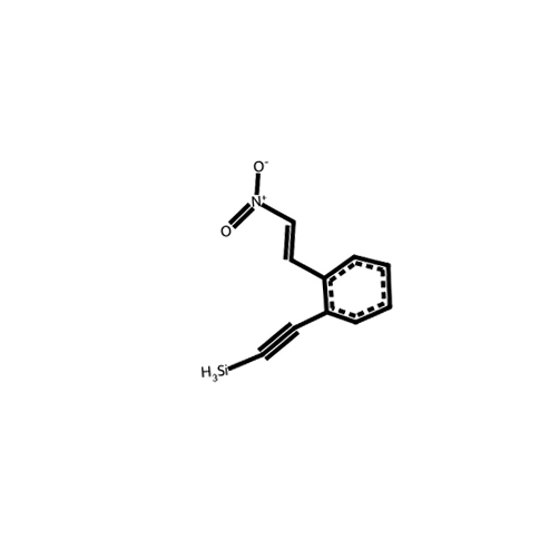 O=[N+]([O-])C=Cc1ccccc1C#C[SiH3]